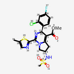 COC(=O)C1=C2C[C@H](NS(C)(=O)=O)CN2C(c2ncc(C)s2)=N[C@H]1c1ccc(F)cc1Cl